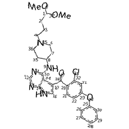 COC(CCCN1CCC(Nc2ncnc3[nH]cc(C(=O)c4ccc(Oc5ccccc5)cc4Cl)c23)CC1)OC